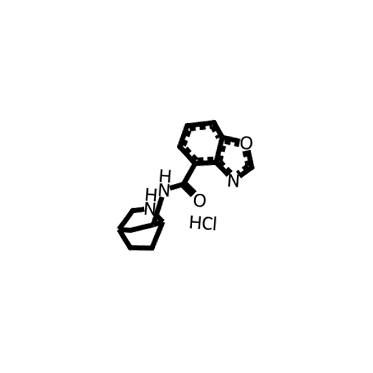 Cl.O=C(NC1CC2CCC1NC2)c1cccc2ocnc12